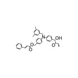 C=CC(=O)C(O)c1ccc(N(Cc2cc(C)cc(C)c2)c2ccc(COC(=O)C=Cc3ccccc3)cc2)cc1